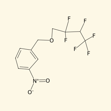 O=[N+]([O-])c1cccc(COCC(F)(F)C(F)C(F)(F)F)c1